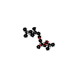 c1ccc(-c2cc(-c3cccc4sc5c(-c6cc(-c7ccc(-c8ccc(-c9cccc(-c%10cc(-c%11ccccc%11)nc(-c%11cccc%12sc%13c(-c%14nc(-c%15ccccc%15)nc(-c%15ccccc%15)n%14)cccc%13c%11%12)n%10)c9)cc8)cc7)nc(-c7ccccc7)n6)cccc5c34)nc(-c3ccccc3)n2)cc1